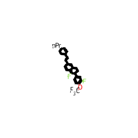 CCCc1ccc(CCc2ccc3c(F)c(-c4ccc(OC(F)(F)F)c(F)c4)ccc3c2)cc1